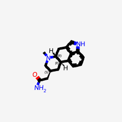 CN1C[C@H](CC(N)=O)C[C@@H]2c3cccc4[nH]cc(c34)C[C@H]21